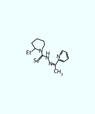 CCC1CCCCN1C(=[Se])NN=C(C)c1ccccn1